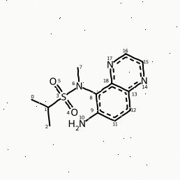 CC(C)S(=O)(=O)N(C)c1c(N)ccc2nccnc12